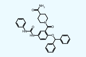 NC(=O)C1CCN(C(=O)c2cc(NC(=O)Nc3ccccc3)ccc2OC(c2ccccc2)c2ccccc2)CC1